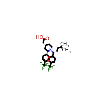 CC(C)CC[C@H](c1ccc(C(F)(F)F)cc1)N1CC[C@@H](CC(=O)O)C[C@@H]1C1C=CC(C(F)(F)F)=CC1